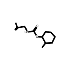 C=C(C)CNC(=O)OC1CCCCC1C